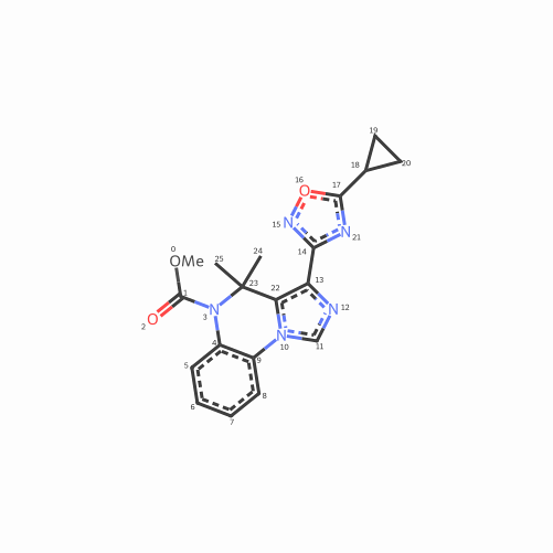 COC(=O)N1c2ccccc2-n2cnc(-c3noc(C4CC4)n3)c2C1(C)C